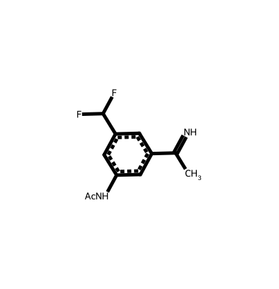 CC(=N)c1cc(NC(C)=O)cc(C(F)F)c1